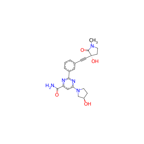 CN1CC[C@@](O)(C#Cc2cccc(-c3nc(C(N)=O)cc(N4CC[C@@H](O)C4)n3)c2)C1=O